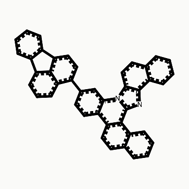 c1ccc2c(c1)-c1cccc3c(-c4ccc5c6ccc7ccccc7c6c6nc7c8ccccc8ccc7n6c5c4)ccc-2c13